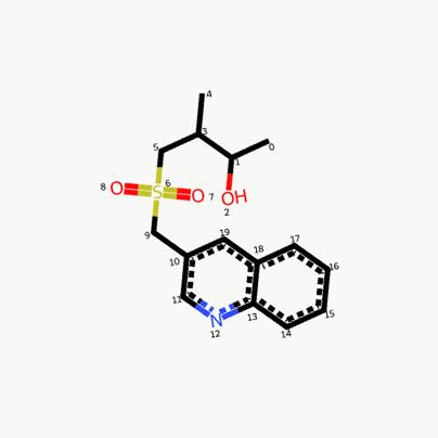 CC(O)C(C)CS(=O)(=O)Cc1cnc2ccccc2c1